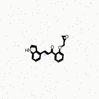 O=C(/C=C/c1cccc2[nH]ccc12)c1ccccc1OCC1CO1